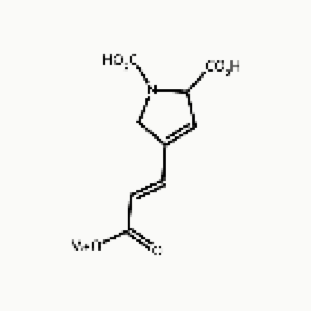 COC(=O)C=CC1=CC(C(=O)O)N(C(=O)O)C1